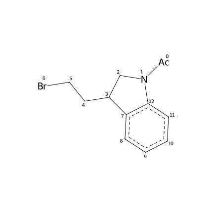 CC(=O)N1CC(CCBr)c2ccccc21